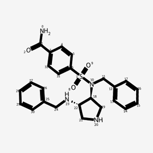 NC(=O)c1ccc(S(=O)(=O)N(Cc2ccccc2)[C@H]2CNC[C@@H]2NCc2ccccc2)cc1